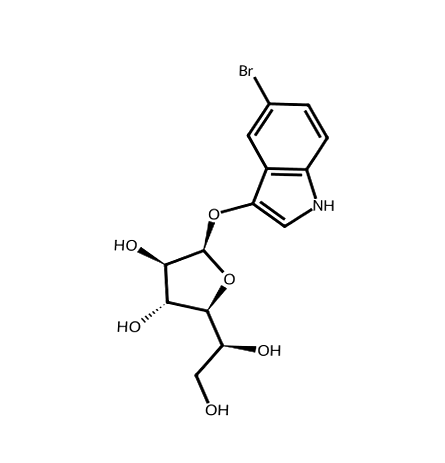 OC[C@H](O)[C@@H]1O[C@H](Oc2c[nH]c3ccc(Br)cc23)[C@H](O)[C@H]1O